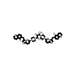 CC(C(=O)C(C)N1CCN(c2ccc3ncc(Cc4ccc5ncccc5c4F)n3n2)CC1)N1CCN(c2ccc3ncc(Cc4ccc5ncccc5c4F)n3n2)CC1